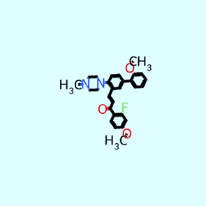 COc1ccc(C(=O)C=Cc2cc(-c3ccccc3OC)ccc2N2CCN(C)CC2)c(F)c1